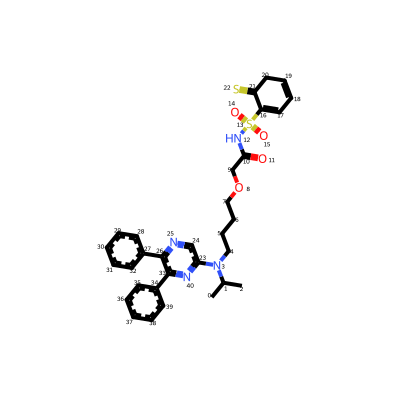 CC(C)N(CCCCOCC(=O)NS(=O)(=O)C1=CC=CCC1=S)c1cnc(-c2ccccc2)c(-c2ccccc2)n1